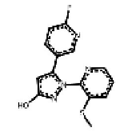 CSc1cccnc1-n1nc(O)cc1-c1ccc(F)nc1